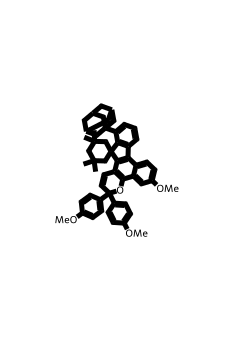 COc1ccc(C2(c3ccc(OC)cc3)C=Cc3c4c(c5ccc(OC)cc5c3O2)-c2cccc(C35CC6CC(CC(C6)C3)C5)c2C42CC(C)(C)CC(C)(C)C2)cc1